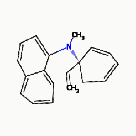 C=C[C@@]1(N(C)c2cccc3ccccc23)C=CC=CC1